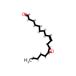 CCCCCC1OC1C/C=C\CCCCCCCC=O